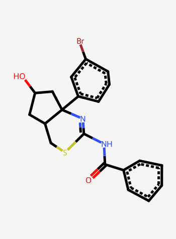 O=C(NC1=NC2(c3cccc(Br)c3)CC(O)CC2CS1)c1ccccc1